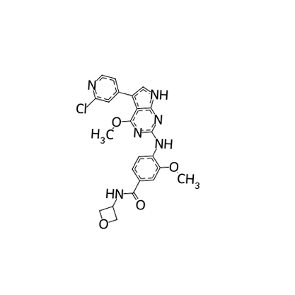 COc1cc(C(=O)NC2COC2)ccc1Nc1nc(OC)c2c(-c3ccnc(Cl)c3)c[nH]c2n1